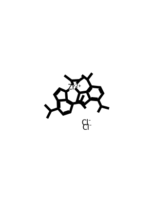 CC(C)c1ccc(C(C)C)c2c1C=C[CH]2[Zr+2]1([CH]2C=Cc3c(C(C)C)ccc(C(C)C)c32)[CH](C)[CH]1C.[Cl-].[Cl-]